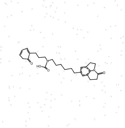 O=C1CC=CC=C1CCCN(CCCCCCc1cc2c3c(c1)CCN3C(=O)CC2)C(=O)O